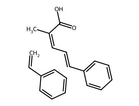 C=Cc1ccccc1.CC(=CC=Cc1ccccc1)C(=O)O